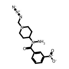 [N-]=[N+]=NCN1CCC(N(N)C(=O)c2cccc([N+](=O)[O-])c2)CC1